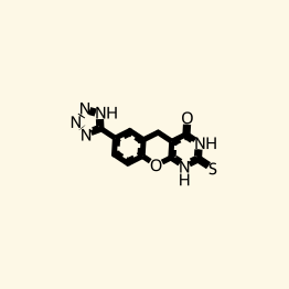 O=c1[nH]c(=S)[nH]c2c1Cc1cc(-c3nnn[nH]3)ccc1O2